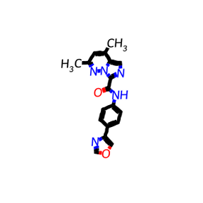 Cc1cc(C)c2cnc(C(=O)Nc3ccc(-c4cocn4)cc3)n2n1